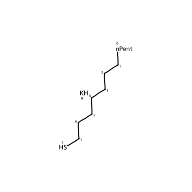 CCCCCCCCCCCCS.[KH]